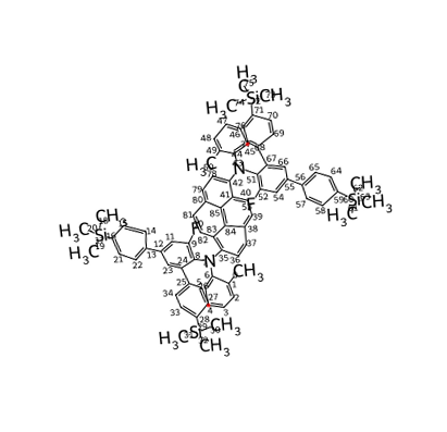 Cc1ccccc1N(c1c(F)cc(-c2ccc([Si](C)(C)C)cc2)cc1-c1ccc([Si](C)(C)C)cc1)c1ccc2ccc3c(N(c4ccccc4C)c4c(F)cc(-c5ccc([Si](C)(C)C)cc5)cc4-c4ccc([Si](C)(C)C)cc4)ccc4ccc1c2c43